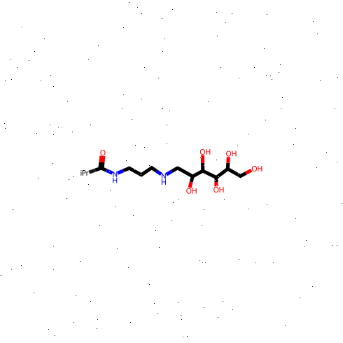 CC(C)C(=O)NCCCNCC(O)C(O)C(O)C(O)CO